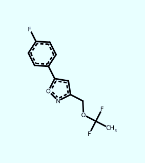 CC(F)(F)OCc1cc(-c2ccc(F)cc2)on1